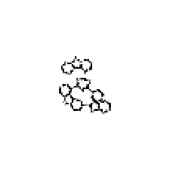 c1ccc(-c2nc(-c3cccc4sc5ccccc5c34)nc(-c3cccc4sc5ccc(-c6nc7ccccc7s6)cc5c34)n2)cc1